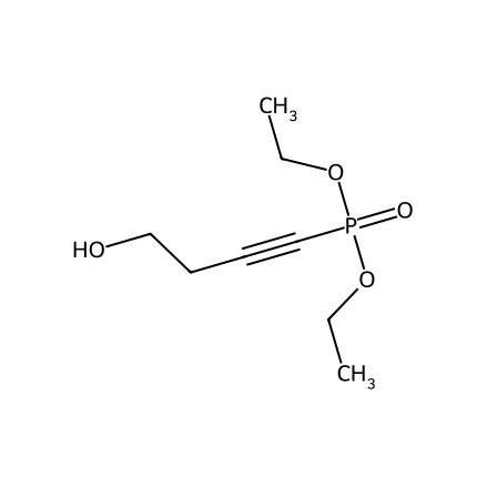 CCOP(=O)(C#CCCO)OCC